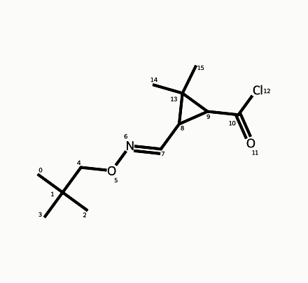 CC(C)(C)CON=CC1C(C(=O)Cl)C1(C)C